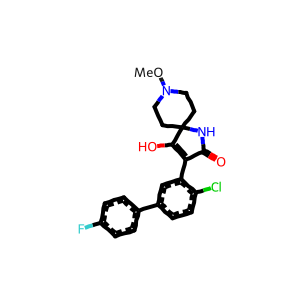 CON1CCC2(CC1)NC(=O)C(c1cc(-c3ccc(F)cc3)ccc1Cl)=C2O